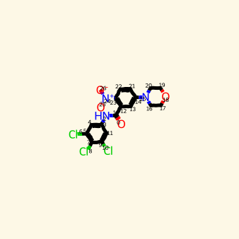 O=C(Nc1cc(Cl)c(Cl)c(Cl)c1)c1cc(N2CCOCC2)ccc1[N+](=O)[O-]